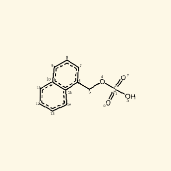 O=S(=O)(O)OCc1cccc2ccccc12